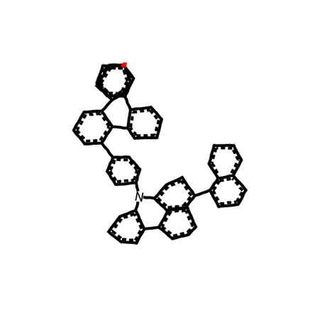 c1ccc(-c2ccccc2-c2c(-c3ccccc3)cccc2-c2ccc(N(c3ccc(-c4cccc5ccccc45)cc3)c3ccccc3-c3ccccc3)cc2)cc1